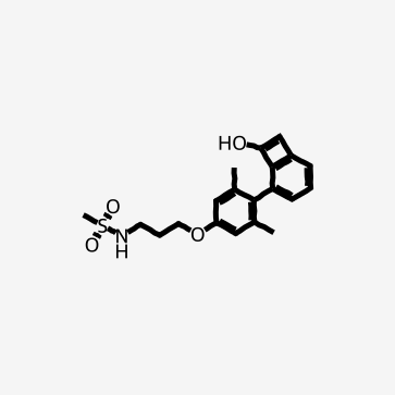 Cc1cc(OCCCNS(C)(=O)=O)cc(C)c1-c1cccc2c1C(O)=C2